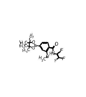 COc1cc(B2OC(C)(C)C(C)(C)O2)ccc1C(=O)NC(F)C(F)F